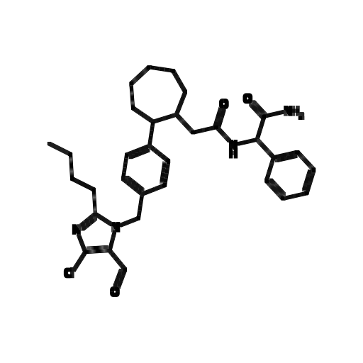 CCCCc1nc(Cl)c(C=O)n1Cc1ccc(C2CCCCCC2CC(=O)NC(C(N)=O)c2ccccc2)cc1